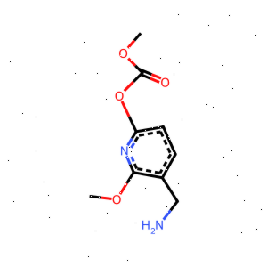 COC(=O)Oc1ccc(CN)c(OC)n1